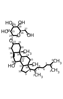 CC(C)CCC[C@@H](C)[C@H]1CCC2C3C(CC[C@@]21C)[C@@]1(C)CCC(O[C@H]2O[C@H](CO)[C@H](O)[C@H](O)[C@H]2O)CC1=C[C@H]3O